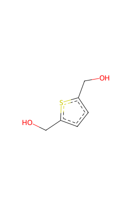 OCc1ccc(CO)s1